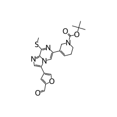 CSc1nc(C2=CCCN(C(=O)OC(C)(C)C)C2)cn2c(-c3coc(C=O)c3)cnc12